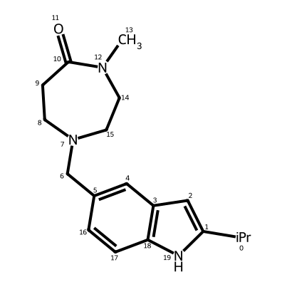 CC(C)c1cc2cc(CN3CCC(=O)N(C)CC3)ccc2[nH]1